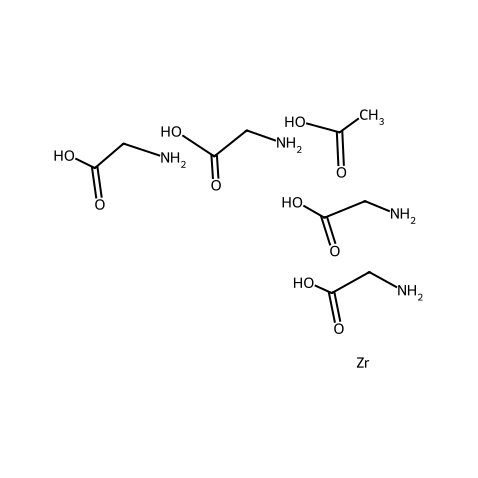 CC(=O)O.NCC(=O)O.NCC(=O)O.NCC(=O)O.NCC(=O)O.[Zr]